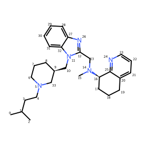 CC(C)CCN1CCC[C@@H](Cn2c(CN(C)[C@@H]3CCCc4cccnc43)nc3ccccc32)C1